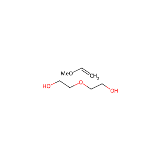 C=COC.OCCOCCO